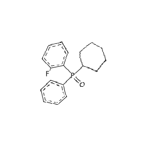 O=P(c1ccccc1)(c1ccccc1F)C1CCCCC1